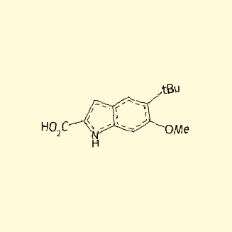 COc1cc2[nH]c(C(=O)O)cc2cc1C(C)(C)C